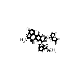 COC(=O)C12CCC(CN(c3nc(OC[C@@]45CCCN4C[C@H](F)C5)nc4c(F)c(-c5ccc(F)c6sc(N)c(C#N)c56)c(Cl)cc34)C1)C2